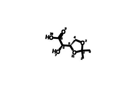 CC1(C)OC[C@@H]([C@@H](O)C(=O)O)O1